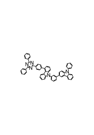 c1ccc(-c2nc(-c3ccccc3)nc(-c3ccc(-c4cccc5c4c4ccccc4n5-c4cccc(-c5ccc6c(c5)c5ccccc5n6-c5ccccc5)c4)cc3)n2)cc1